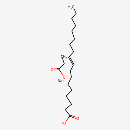 CCC(=O)[O-].CCCCCCCCC=CCCCCCCCC(=O)O.[Na+]